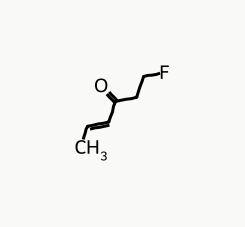 CC=CC(=O)CCF